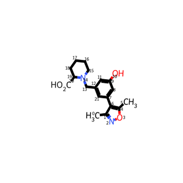 Cc1noc(C)c1-c1cc(O)cc(CN2CCCCC2C(=O)O)c1